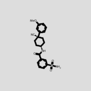 COc1cccc([C@]2(C#N)CC[C@@H](NC(=O)c3cccc(S(N)(=O)=O)c3)CC2)c1